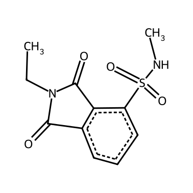 CCN1C(=O)c2cccc(S(=O)(=O)NC)c2C1=O